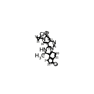 C[C@H](Nc1ncnc2cc(=O)n(C3(C)CC3)cc12)c1cccc2c1CCC2=O